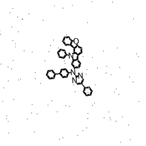 c1ccc(-c2ccc(N(c3ccc4c5ccc6oc7ccccc7c6c5n(-c5ccccc5)c4c3)c3ncc(-c4ccccc4)cn3)cc2)cc1